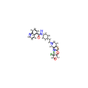 O=C(N[C@H]1CC[C@H](CCN2CCc3sc(OC4COCC4(F)F)nc3C2)CC1)c1cccc2ncccc12